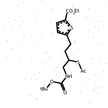 CCOC(=O)c1ccc(CCC(CNC(=O)OC(C)(C)C)SC(C)=O)s1